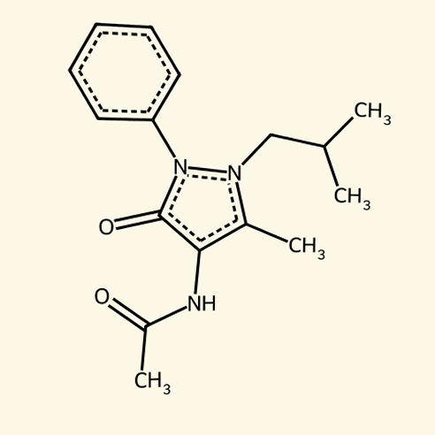 CC(=O)Nc1c(C)n(CC(C)C)n(-c2ccccc2)c1=O